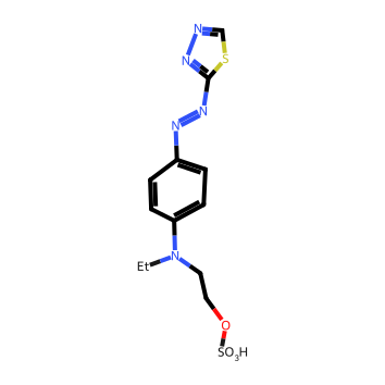 CCN(CCOS(=O)(=O)O)c1ccc(/N=N/c2nncs2)cc1